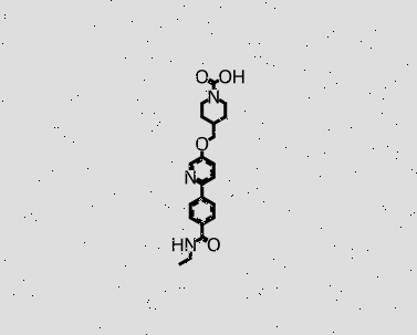 CCNC(=O)c1ccc(-c2ccc(OCC3CCN(C(=O)O)CC3)cn2)cc1